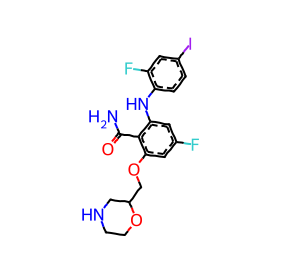 NC(=O)c1c(Nc2ccc(I)cc2F)cc(F)cc1OCC1CNCCO1